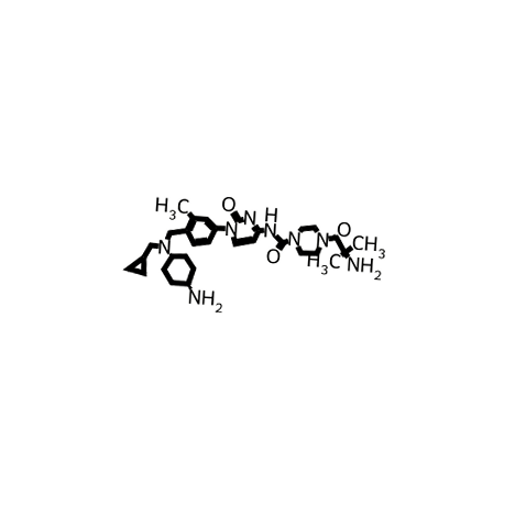 Cc1cc(-n2ccc(NC(=O)N3CCN(C(=O)C(C)(C)N)CC3)nc2=O)ccc1CN(CC1CC1)[C@H]1CC[C@H](N)CC1